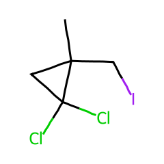 CC1(CI)CC1(Cl)Cl